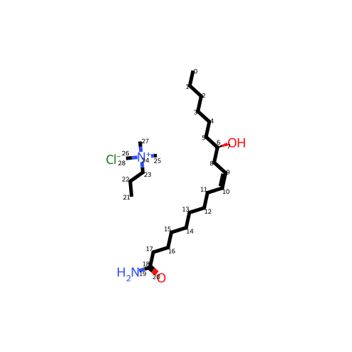 CCCCCC[C@@H](O)C/C=C\CCCCCCCC(N)=O.CCC[N+](C)(C)C.[Cl-]